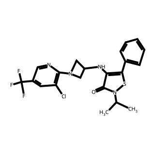 CC(C)n1sc(-c2ccccc2)c(NC2CN(c3ncc(C(F)(F)F)cc3Cl)C2)c1=O